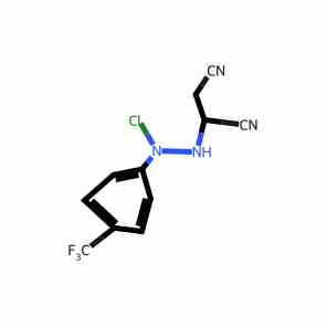 N#CCC(C#N)NN(Cl)c1ccc(C(F)(F)F)cc1